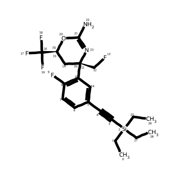 CC[Si](C#Cc1ccc(F)c([C@]2(CF)C[C@@H](C(F)(F)F)OC(N)=N2)c1)(CC)CC